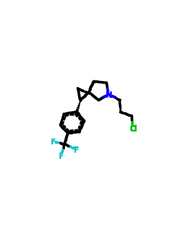 FC(F)(F)c1ccc([C@@H]2C[C@]23CCN(CCCCl)C3)cc1